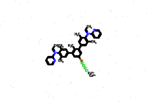 CC=[N+](c1ccccn1)c1c(C)cc(-c2cc(Br)cc(-c3cc(C)c([N+](=CC)c4ccccn4)c(C)c3)c2C)cc1C.[Cl-].[Cl-].[Cl-].[Cl-].[Cu+2].[Cu+2]